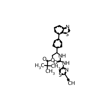 C#Cc1nc(NC(=O)NC(COC(=O)C(C)(C)C)c2ccc(-c3cccc4ncsc34)cc2)cs1